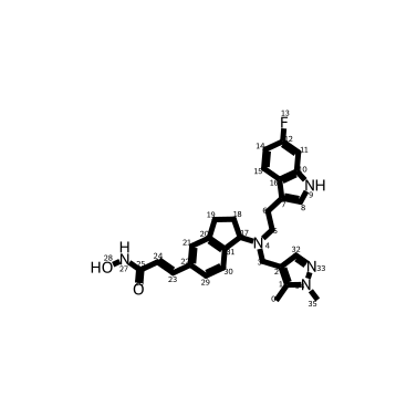 Cc1c(CN(CCc2c[nH]c3cc(F)ccc23)C2CCc3cc(C=CC(=O)NO)ccc32)cnn1C